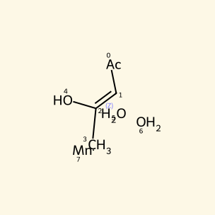 CC(=O)/C=C(/C)O.O.O.[Mn]